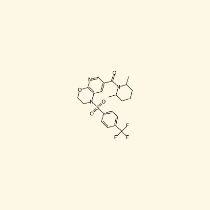 CC1CCCC(C)N1C(=O)c1cnc2c(c1)N(S(=O)(=O)c1ccc(C(F)(F)F)cc1)CCO2